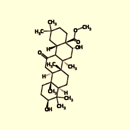 COC(=O)[C@]12CCC(C)(C)C[C@H]1C1C(=O)C[C@@H]3[C@@]4(C)CC[C@H](O)C(C)(C)[C@@H]4CC[C@@]3(C)[C@]1(C)C[C@H]2O